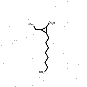 CCCCCCCCCCCC1C(CCCCCCCC(=O)O)C1C(=O)O